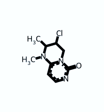 CC1C(Cl)Cn2c(ccnc2=O)N1C